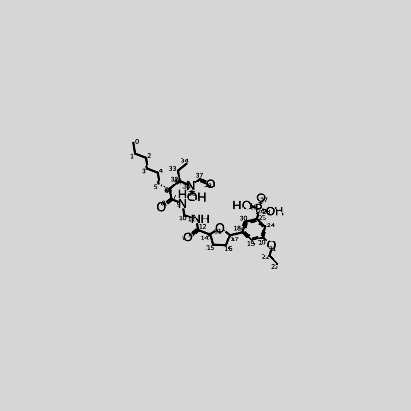 CCCCCC[C@@H](C(=O)NCNC(=O)C1CCC(c2cc(OCC)cc(P(=O)(O)O)c2)O1)[C@@H](CC)N(O)C=O